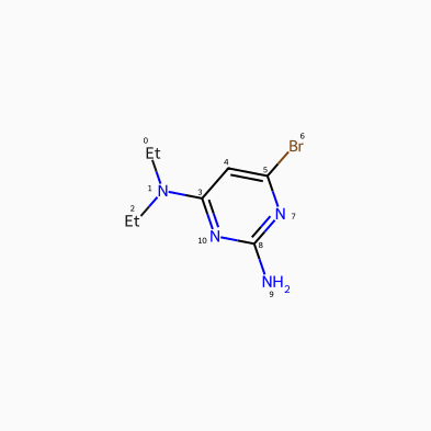 CCN(CC)c1cc(Br)nc(N)n1